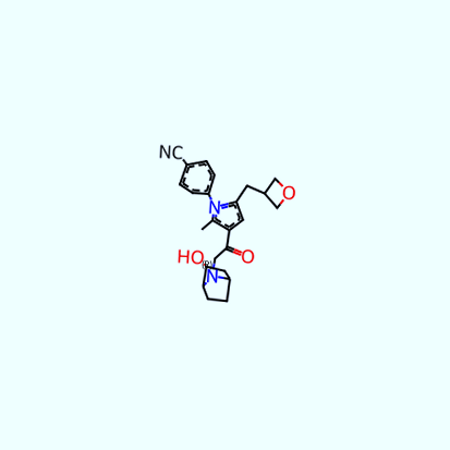 Cc1c(C(=O)CN2C3CCC2[C@H](O)C3)cc(CC2COC2)n1-c1ccc(C#N)cc1